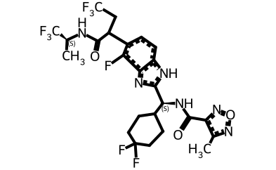 Cc1nonc1C(=O)N[C@H](c1nc2c(F)c(C(CC(F)(F)F)C(=O)N[C@@H](C)C(F)(F)F)ccc2[nH]1)C1CCC(F)(F)CC1